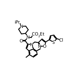 CCOC(=O)CN(C(=O)c1cc2c(C)ccc(C)c2n1Cc1cc(-c2ccc(Cl)s2)on1)C1CCN(C(C)C)CC1